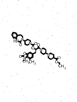 CCOC(=O)C1CCN(C2CCN(C(=O)[C@@H](Cc3cc(C)c4c(c3)oc(=O)n4C)OC(=O)N3CCC(N4CCc5ccccc5NC4=O)CC3)CC2)CC1